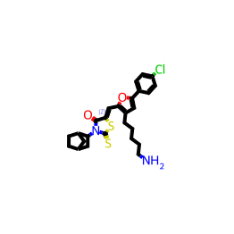 NCCCCCc1cc(-c2ccc(Cl)cc2)oc1/C=C1\SC(=S)N(C2CC3CCC2C3)C1=O